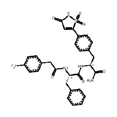 NC(=O)[C@H](Cc1ccc(C2=CC(=O)NS2(=O)=O)cc1)NC(=O)[C@H](Cc1ccccc1)NC(=O)Cc1ccc(C(F)(F)F)cc1